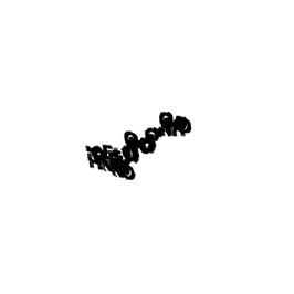 CCC1CC(C)C[C@@H]1NC1=NC(=O)C(C)(CC2CCN(C(=O)c3cccc(OCCNC(=O)c4ccoc4)c3)CC2)S1